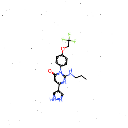 CCCNc1nc(-c2cn[nH]c2)cc(=O)n1-c1ccc(OCC(F)(F)F)cc1